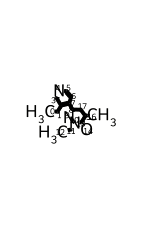 CCc1cnccc1C1=NN(CC)C(=O)C(C)C1